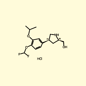 CC(C)Oc1cc([C@H]2CN[C@@H](CO)C2)ccc1OC(F)F.Cl